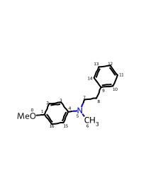 COc1ccc(N(C)CCc2ccccc2)cc1